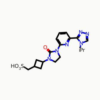 CC(C)n1cnnc1-c1cccc(N2CCN(C3CC(CS(=O)(=O)O)C3)C2=O)n1